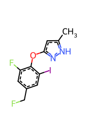 Cc1cc(Oc2c(F)cc(CF)cc2I)n[nH]1